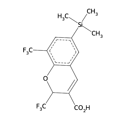 C[Si](C)(C)c1cc2c(c(C(F)(F)F)c1)OC(C(F)(F)F)C(C(=O)O)=C2